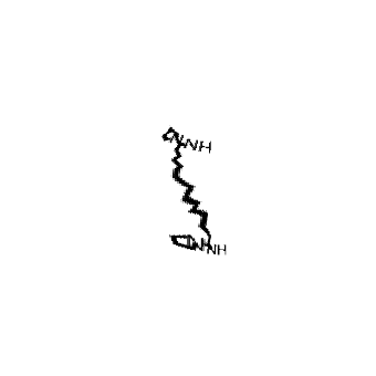 N=C(CCCCCCCCCCCCC(=N)N1CCCC1)N1CCCC1